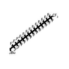 CCC(C)CC(F)(F)C(F)(F)C(F)(F)C(F)(F)C(F)(F)C(F)(F)C(F)(F)C(F)(F)C(F)(F)C(F)(F)C(F)(F)C(F)(F)C(F)(F)C(F)(F)F